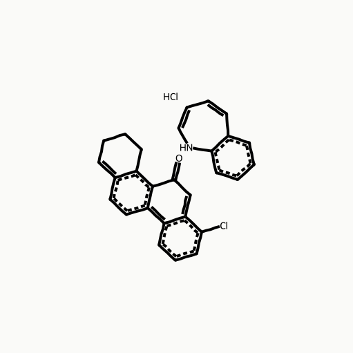 C1=CNc2ccccc2C=C1.Cl.O=C1C=c2c(Cl)cccc2=c2ccc3c(c21)CCCC=3